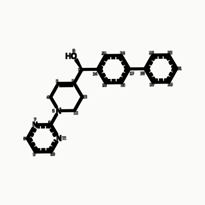 O[C@H](C1=CCN(c2ncccn2)CC1)c1ccc(-c2ccccc2)cc1